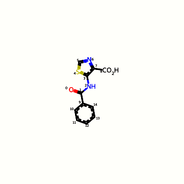 O=C(Nc1scnc1C(=O)O)c1ccccc1